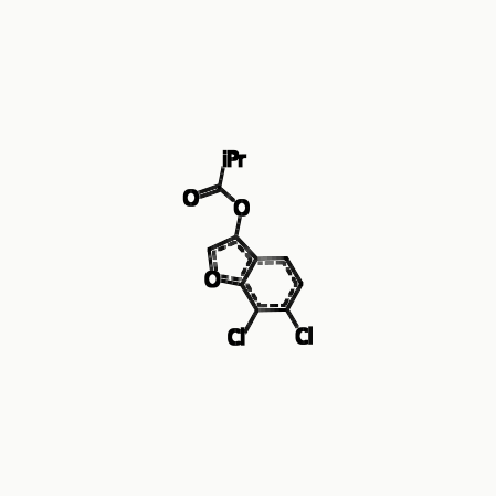 CC(C)C(=O)Oc1coc2c(Cl)c(Cl)ccc12